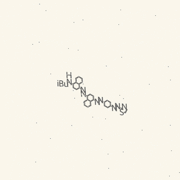 CCC(C)Nc1ccc(/N=N/c2ccc(/N=N/c3ccc(/N=N/c4nccs4)cc3)c3ccccc23)c2ccccc12